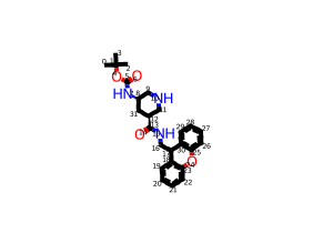 CC(C)(C)OC(=O)N[C@H]1CNC[C@@H](C(=O)NCC2c3ccccc3Oc3ccccc32)C1